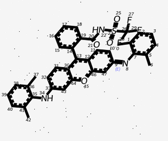 Cc1cccc(C)c1/N=c1\ccc2c(-c3ccccc3C(=O)NS(=O)(=O)C(F)(F)F)c3ccc(Nc4c(C)cccc4C)cc3oc-2c1